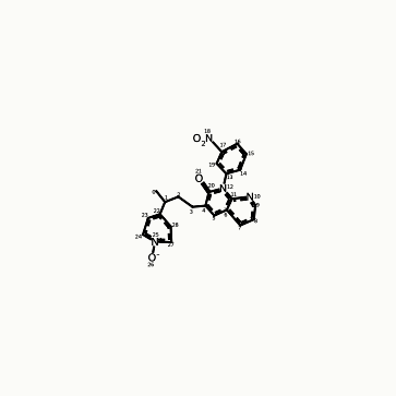 CC(CCc1cc2cccnc2n(-c2cccc([N+](=O)[O-])c2)c1=O)c1cc[n+]([O-])cc1